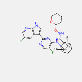 O=C(NOC1CCCCO1)[C@H]1C2CCC(CC2)[C@@H]1Nc1nc(-c2c[nH]c3ncc(F)cc23)ncc1F